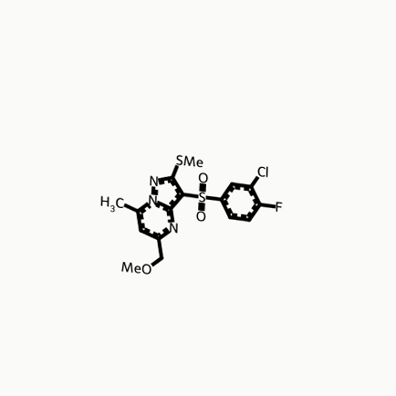 COCc1cc(C)n2nc(SC)c(S(=O)(=O)c3ccc(F)c(Cl)c3)c2n1